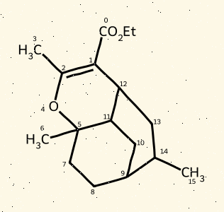 CCOC(=O)C1=C(C)OC2(C)CCC3CC2C1CC3C